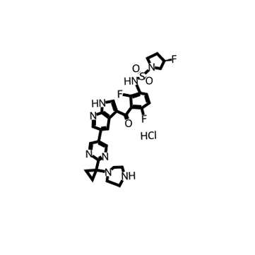 Cl.O=C(c1c(F)ccc(NS(=O)(=O)N2CC[C@@H](F)C2)c1F)c1c[nH]c2ncc(-c3cnc(C4(N5CCNCC5)CC4)nc3)cc12